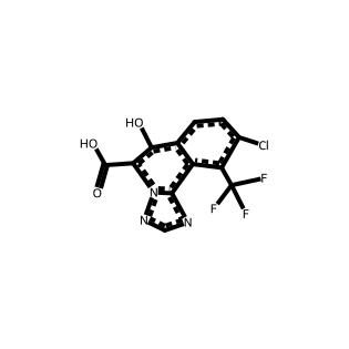 O=C(O)c1c(O)c2ccc(Cl)c(C(F)(F)F)c2c2ncnn12